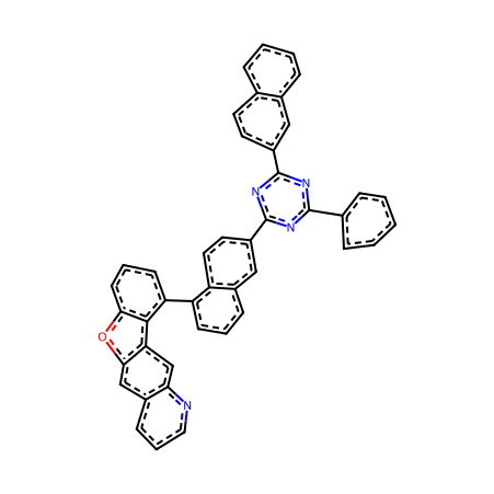 c1ccc(-c2nc(-c3ccc4ccccc4c3)nc(-c3ccc4c(-c5cccc6oc7cc8cccnc8cc7c56)cccc4c3)n2)cc1